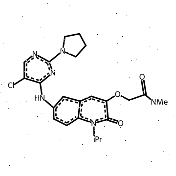 CNC(=O)COc1cc2cc(Nc3nc(N4CCCC4)ncc3Cl)ccc2n(C(C)C)c1=O